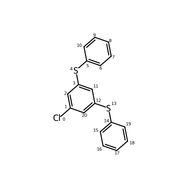 Clc1cc(Sc2ccccc2)cc(Sc2ccccc2)c1